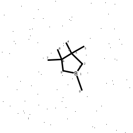 CB1CC(C)(C)C(C)(C)C1